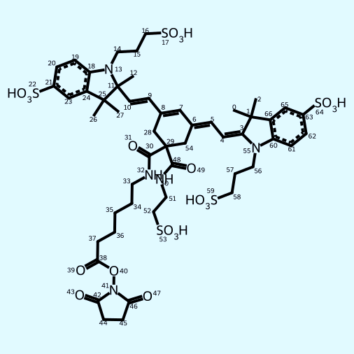 CC1(C)/C(=C\C=C2C=C(/C=C/C3(C)N(CCCS(=O)(=O)O)c4ccc(S(=O)(=O)O)cc4C3(C)C)CC(C(=O)NCCCCCC(=O)ON3C(=O)CCC3=O)(C(=O)NCCS(=O)(=O)O)C\2)N(CCCS(=O)(=O)O)c2ccc(S(=O)(=O)O)cc21